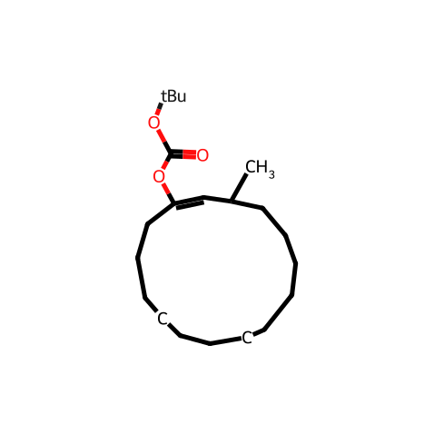 CC1/C=C(/OC(=O)OC(C)(C)C)CCCCCCCCCCCC1